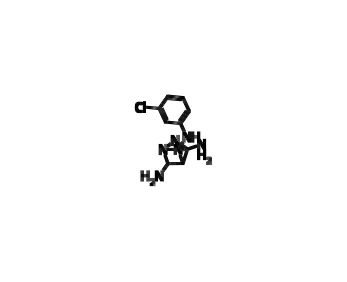 NC1=NN2C(N)C1N2Nc1cccc(Cl)c1